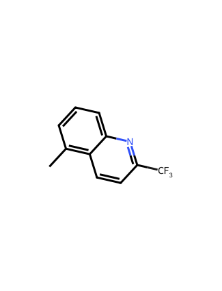 Cc1cccc2nc(C(F)(F)F)ccc12